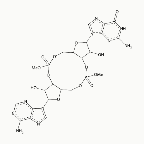 COP1(=O)OCC2OC(n3cnc4c(=O)[nH]c(N)nc43)C(O)C2OP(=O)(OC)OCC2OC(n3cnc4c(N)ncnc43)C(O)C2O1